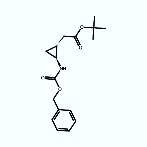 CC(C)(C)OC(=O)C[C@H]1C[C@@H]1NC(=O)OCc1ccccc1